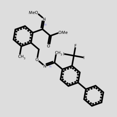 CO/N=C(/C(=O)OC)c1cccc(C)c1CO/N=C(\C)c1ccc(-c2ccccc2)cc1C(F)(I)I